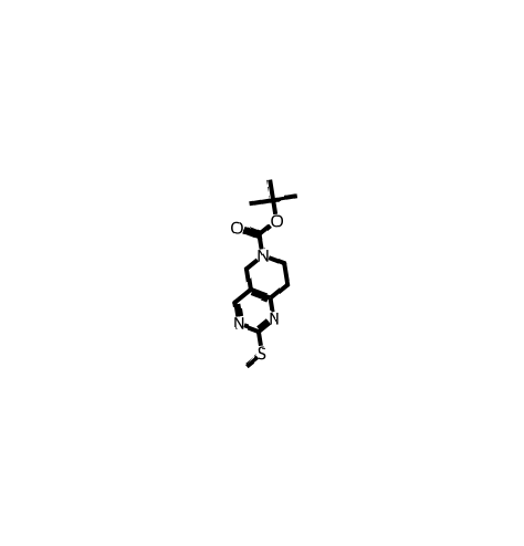 CSc1ncc2c(n1)CCN(C(=O)OC(C)(C)C)C2